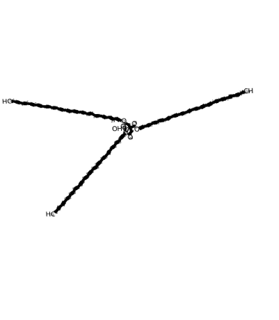 C#CC#CC#CC#CC#CC#CC#CC#CC#CC#CC#CC#CC#CC#CC#CC#COC(=O)CC(CC(=O)OC#CC#CC#CC#CC#CC#CC#CC#CC#CC#CC#CC#CC#CC#CC#CC#C)(OC=O)C(=O)OC#CC#CC#CC#CC#CC#CC#CC#CC#CC#CC#CC#CC#CC#CC#CC#C